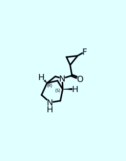 O=C(C1CC1F)N1C[C@H]2CNC[C@@H]1C2